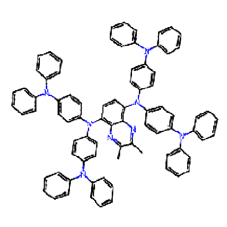 Cc1nc2c(N(c3ccc(N(c4ccccc4)c4ccccc4)cc3)c3ccc(N(c4ccccc4)c4ccccc4)cc3)ccc(N(c3ccc(N(c4ccccc4)c4ccccc4)cc3)c3ccc(N(c4ccccc4)c4ccccc4)cc3)c2nc1C